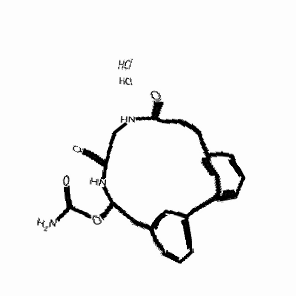 Cl.Cl.NC(=O)OC1Cc2cccc(c2)-c2cccc(c2)CCC(=O)NCC(=O)N1